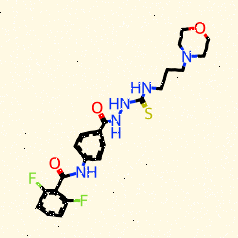 O=C(NNC(=S)NCCCN1CCOCC1)c1ccc(NC(=O)c2c(F)cccc2F)cc1